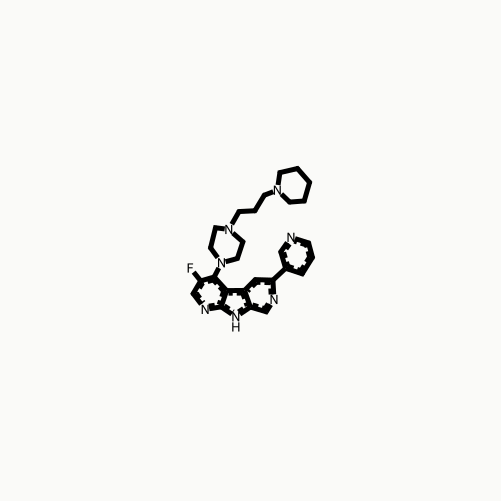 Fc1cnc2[nH]c3cnc(-c4cccnc4)cc3c2c1N1CCN(CCCN2CCCCC2)CC1